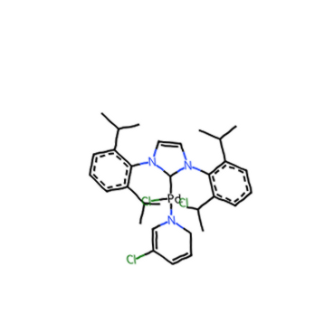 CC(C)c1cccc(C(C)C)c1N1C=CN(c2c(C(C)C)cccc2C(C)C)[CH]1[Pd]([Cl])([Cl])[N]1C=C(Cl)C=CC1